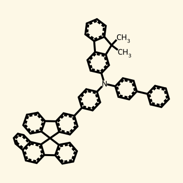 CC1(C)c2ccccc2-c2ccc(N(c3ccc(-c4ccccc4)cc3)c3ccc(-c4ccc5c(c4)-c4ccccc4C54c5ccccc5-c5ccc6ccccc6c54)cc3)cc21